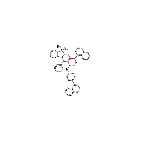 CCC1(CC)c2ccccc2-c2c(-c3ccccc3N(c3ccc(-c4cccc5ccccc45)cc3)c3ccc(-c4cccc5ccccc45)cc3)cccc21